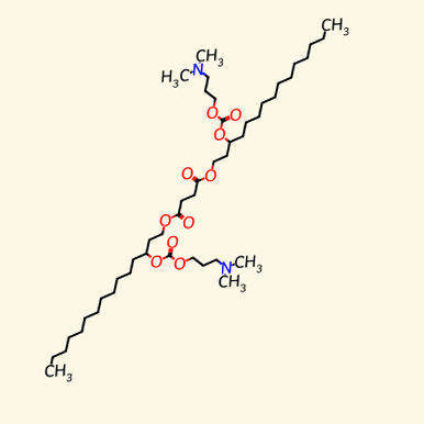 CCCCCCCCCCCCC(CCOC(=O)CCC(=O)OCCC(CCCCCCCCCCCC)OC(=O)OCCCN(C)C)OC(=O)OCCCN(C)C